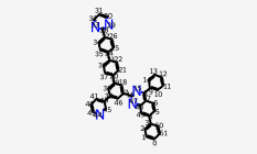 c1ccc(-c2ccc3c(-c4ccccc4)nc(-c4cc(-c5ccc(-c6ccc(-c7ncccn7)cc6)cc5)cc(-c5cccnc5)c4)nc3c2)cc1